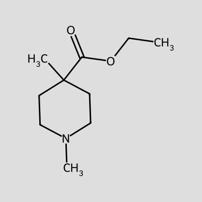 CCOC(=O)C1(C)CCN(C)CC1